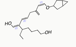 C=C(/C=C\OC1CC2CC2C1)C/C=C/C(=C\O)C(CC)CCCCO